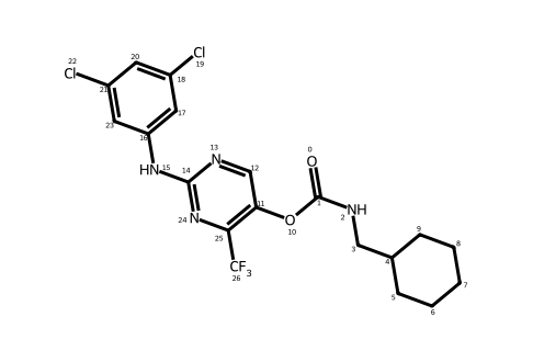 O=C(NCC1CCCCC1)Oc1cnc(Nc2cc(Cl)cc(Cl)c2)nc1C(F)(F)F